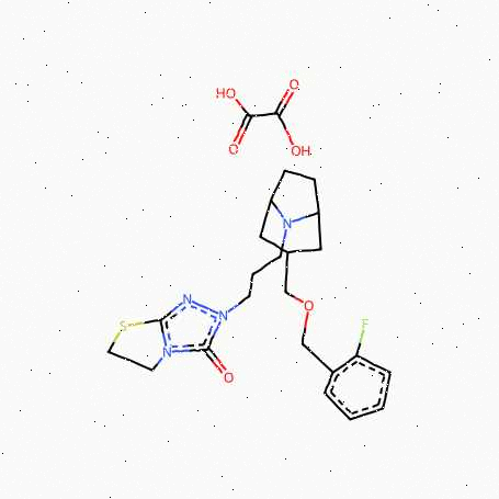 O=C(O)C(=O)O.O=c1n(CCCN2C3CCC2CC(COCc2ccccc2F)C3)nc2n1CCS2